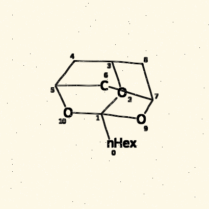 CCCCCCC12OC3CC(CC(C3)O1)O2